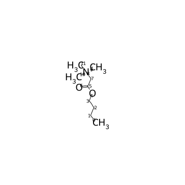 CCCCOC(=O)C[N+](C)(C)C